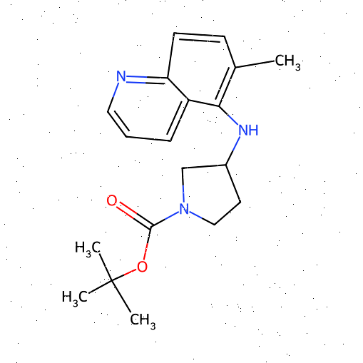 Cc1ccc2ncccc2c1NC1CCN(C(=O)OC(C)(C)C)C1